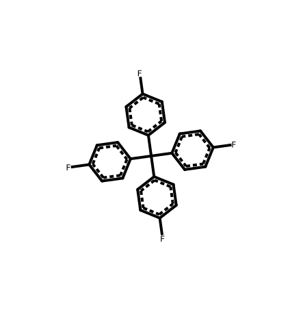 Fc1ccc(C(c2ccc(F)cc2)(c2ccc(F)cc2)c2ccc(F)cc2)cc1